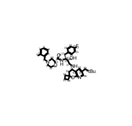 Cc1ccccc1CN1CCO[C@@H](C(=O)N[C@@H](Cc2ccc(F)cc2)[C@H](O)CN[C@H]2CC3(CCC3)Oc3ncc(CC(C)(C)C)cc32)C1